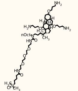 CCCCCCCCN(CCC[C@@H](C)[C@H]1CC[C@H]2[C@@H]3[C@H](OCCCN)C[C@@H]4C[C@H](OCCCN)CC[C@]4(C)[C@H]3C[C@H](OCCCN)[C@]12C)C(=O)NCCOCCOCCOCCNC(=O)CCCC[Si](C)(C)Cl